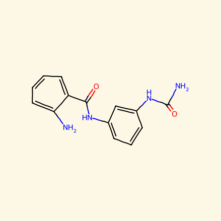 NC(=O)Nc1cccc(NC(=O)c2ccccc2N)c1